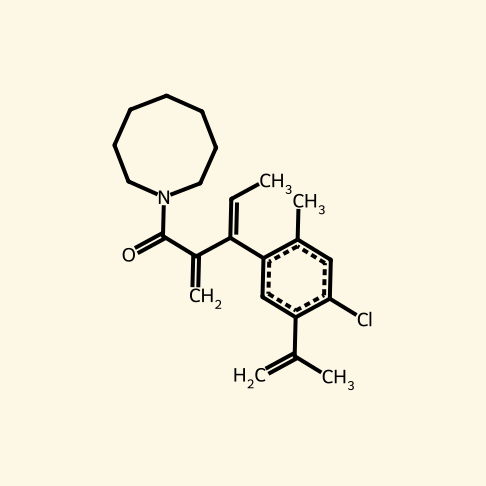 C=C(C(=O)N1CCCCCCC1)/C(=C/C)c1cc(C(=C)C)c(Cl)cc1C